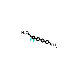 C=CCC1CCC(C2CCC(C3CC=C(c4ccc(CCCCC)c(F)c4F)CC3)CC2)CC1